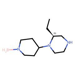 BN1CCC(N2CCNC[C@@H]2CC)CC1